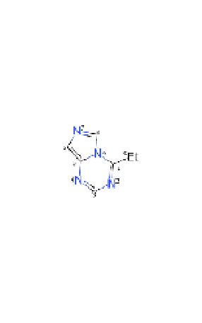 CCc1ncnc2cncn12